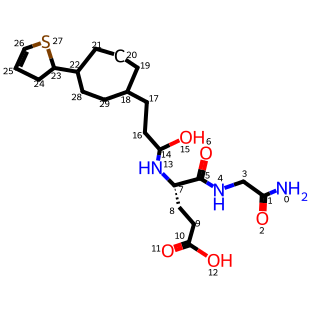 NC(=O)CNC(=O)[C@H](CCC(=O)O)NC(O)CCC1CCCC(C2CC=CS2)CC1